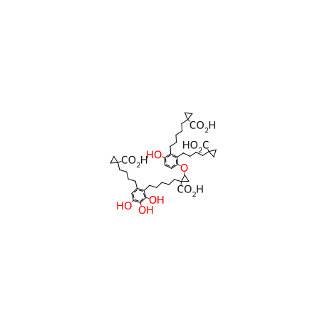 O=C(O)C1(CCCCCc2c(O)ccc(OC3CC3(CCCCCc3c(CCCCC4(C(=O)O)CC4)cc(O)c(O)c3O)C(=O)O)c2CCCCC2(C(=O)O)CC2)CC1